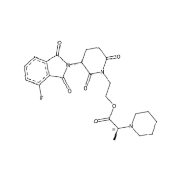 C[C@@H](C(=O)OCCN1C(=O)CCC(N2C(=O)c3cccc(F)c3C2=O)C1=O)N1CCCCC1